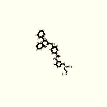 CCN(CCO)Cc1ccc(C)c(NC(=O)c2ccc(Nc3nc(-c4ccccc4)c4ccccc4n3)cc2)c1